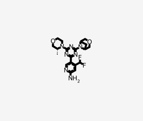 C[C@@H]1COCCN1c1nc(-c2cnc(N)cc2C(F)F)nc(N2C3COCC2C3)n1